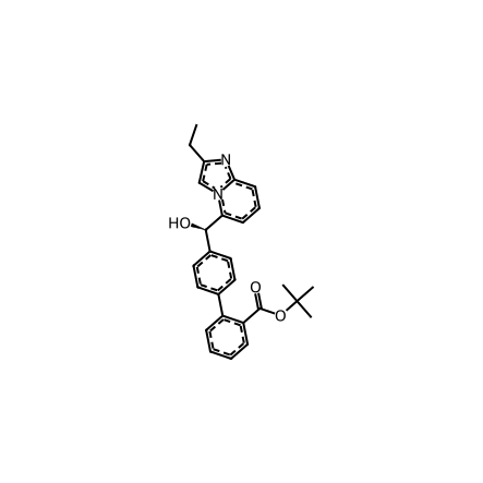 CCc1cn2c([C@H](O)c3ccc(-c4ccccc4C(=O)OC(C)(C)C)cc3)cccc2n1